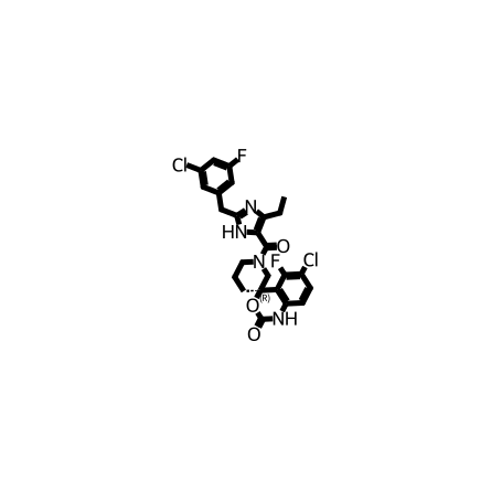 CCc1nc(Cc2cc(F)cc(Cl)c2)[nH]c1C(=O)N1CCC[C@@]2(C1)OC(=O)Nc1ccc(Cl)c(F)c12